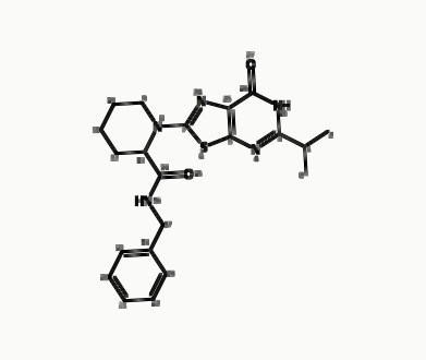 CC(C)c1nc2sc(N3CCCCC3C(=O)NCc3ccccc3)nc2c(=O)[nH]1